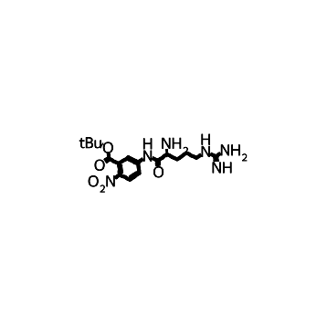 CC(C)(C)OC(=O)c1cc(NC(=O)[C@@H](N)CCCNC(=N)N)ccc1[N+](=O)[O-]